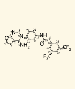 NC1c2ccoc2N=CN1c1ccc(NC(=O)Cc2cc(C(F)(F)F)cc(C(F)(F)F)c2)cc1